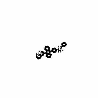 c1ccc(-c2nnc(-c3ccc(-c4c5ccccc5c(-c5cnc6ncccc6c5)c5ccccc45)cc3)o2)cc1